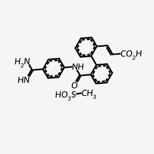 CS(=O)(=O)O.N=C(N)c1ccc(NC(=O)c2ccccc2-c2ccccc2/C=C/C(=O)O)cc1